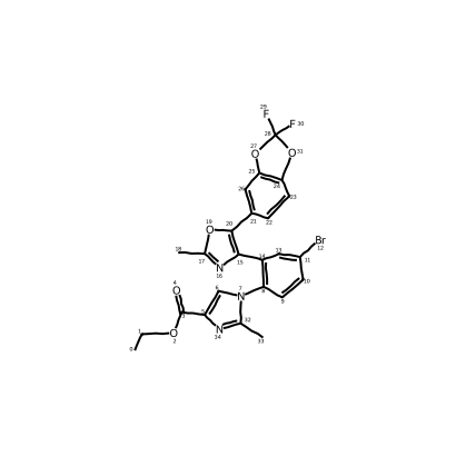 CCOC(=O)c1cn(-c2ccc(Br)cc2-c2nc(C)oc2-c2ccc3c(c2)OC(F)(F)O3)c(C)n1